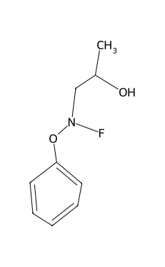 CC(O)CN(F)Oc1ccccc1